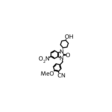 COc1ccc(Cn2c(=O)n([C@H]3CC[C@H](O)CC3)c3ccc([N+](=O)[O-])cc32)cc1C#N